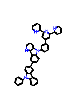 c1ccc(-n2c3ccccc3c3cc(-c4ccc5c(c4)c4ncccc4n5-c4cccc(-c5cc(-c6ccccn6)nc(-c6ccccn6)c5)c4)ccc32)cc1